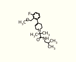 COCc1c(F)cccc1C1=CCN(C(C)(C)C(=O)NCC(C)C)CC1